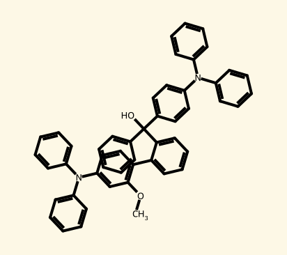 COc1cc(N(c2ccccc2)c2ccccc2)ccc1-c1ccccc1C(O)(c1ccccc1)c1ccc(N(c2ccccc2)c2ccccc2)cc1